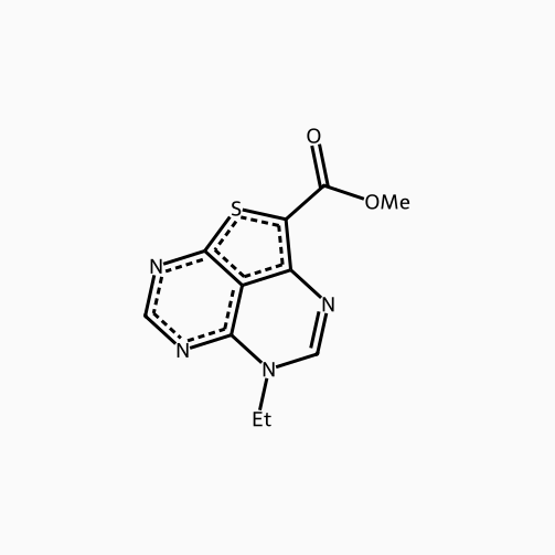 CCN1C=Nc2c(C(=O)OC)sc3ncnc1c23